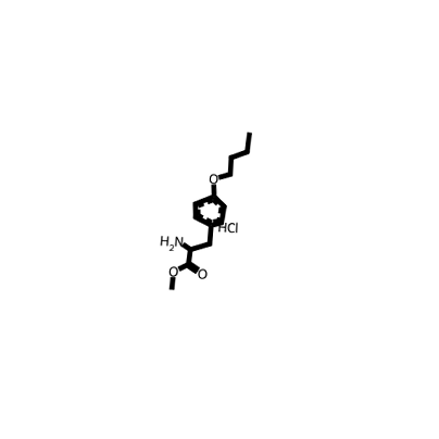 CCCCOc1ccc(CC(N)C(=O)OC)cc1.Cl